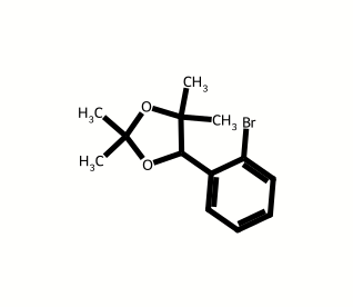 CC1(C)OC(c2ccccc2Br)C(C)(C)O1